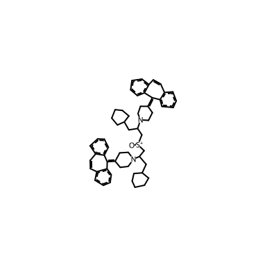 [O-][S+](CC(CC1CCCCC1)N1CCC(=C2c3ccccc3C=Cc3ccccc32)CC1)CC(CC1CCCCC1)N1CCC(=C2c3ccccc3C=Cc3ccccc32)CC1